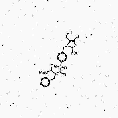 CCCCc1nc(Cl)c(CO)n1Cc1ccc(S(=O)(=O)N(CC)[C@@H](Cc2ccccc2)C(=O)OC)cc1